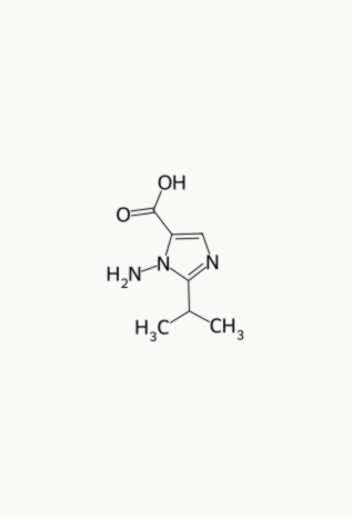 CC(C)c1ncc(C(=O)O)n1N